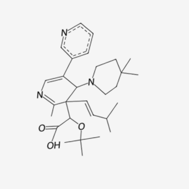 CC1=NC=C(c2cccnc2)C(N2CCC(C)(C)CC2)C1(C=CC(C)C)C(OC(C)(C)C)C(=O)O